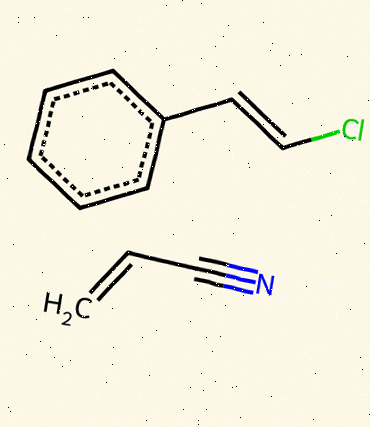 C=CC#N.ClC=Cc1ccccc1